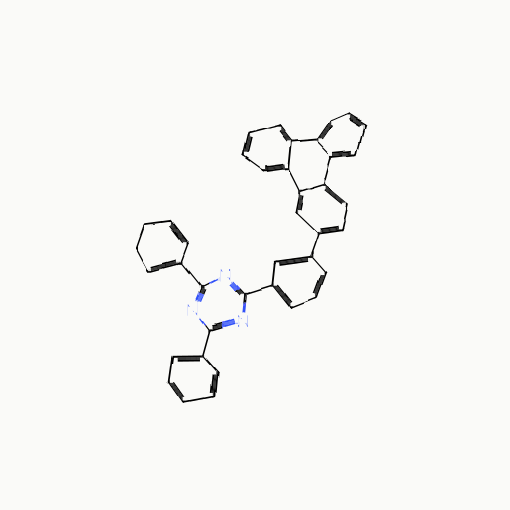 C1=CC(c2nc(-c3ccccc3)nc(-c3cccc(-c4ccc5c6ccccc6c6ccccc6c5c4)c3)n2)=CCC1